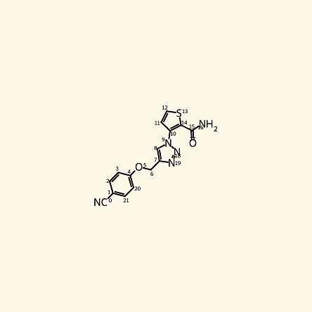 N#Cc1ccc(OCc2cn(-c3ccsc3C(N)=O)nn2)cc1